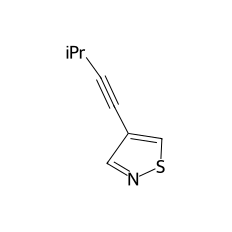 CC(C)C#Cc1cnsc1